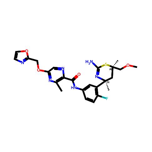 COC[C@@]1(C)C[C@@](C)(c2cc(NC(=O)c3ncc(OCc4ncco4)nc3C)ccc2F)N=C(N)S1